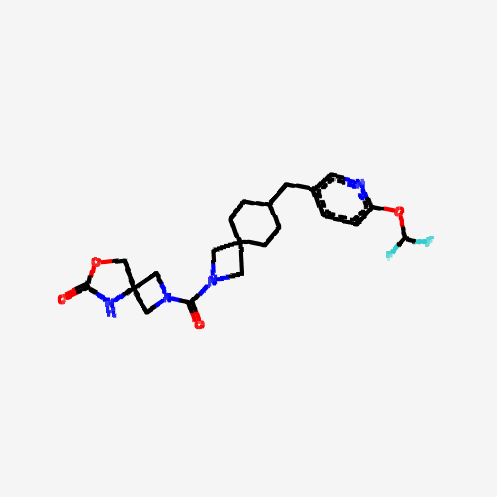 O=C1NC2(CO1)CN(C(=O)N1CC3(CCC(Cc4ccc(OC(F)F)nc4)CC3)C1)C2